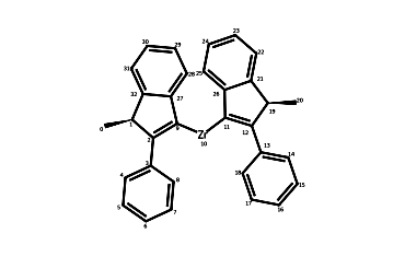 C[C@@H]1C(c2ccccc2)=[C]([Zr][C]2=C(c3ccccc3)[C@H](C)c3ccccc32)c2ccccc21